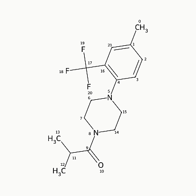 Cc1ccc(N2CCN(C(=O)C(C)C)CC2)c(C(F)(F)F)c1